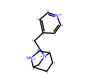 c1cc(CN2CC3CCC2CN3)ccn1